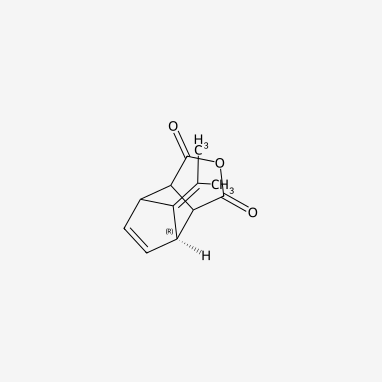 CC(C)=C1C2C=C[C@@H]1C1C(=O)OC(=O)C21